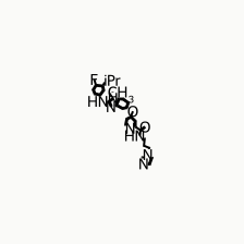 CC(C)c1cc(Nc2nc3cc(Oc4ccnc(C(=O)NCCCn5ccnc5)c4)ccc3n2C)ccc1F